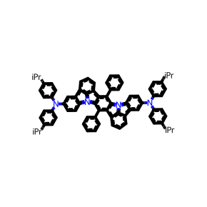 CC(C)c1ccc(N(c2ccc(C(C)C)cc2)c2ccc3c(c2)c2cccc4c5c(-c6ccccc6)c6c(c(-c7ccccc7)c5n3c24)c2cccc3c4cc(N(c5ccc(C(C)C)cc5)c5ccc(C(C)C)cc5)ccc4n6c32)cc1